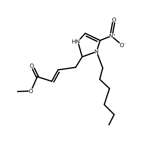 CCCCCCN1C([N+](=O)[O-])=CNC1CC=CC(=O)OC